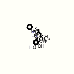 CC(C)(C)Cc1cs/c(=N\C2CCCCC2)n1/N=C/c1ccc(O)c(O)c1O